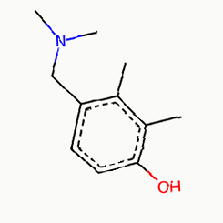 Cc1c(O)ccc(CN(C)C)c1C